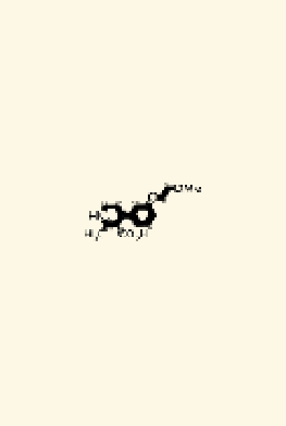 COCCOc1cccc(C2CCN[C@H](C)[C@@H]2C(=O)O)c1